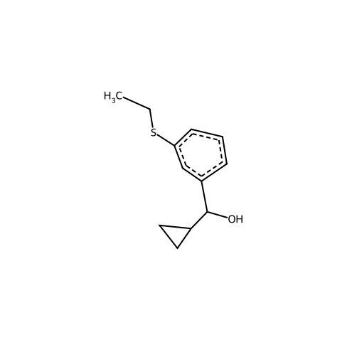 CCSc1cccc(C(O)C2CC2)c1